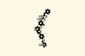 O=C(Cc1ccccc1)NC(=S)Nc1ccc(Oc2ccnc3cc(-c4ccc(OCC5CCCN5)cc4)sc23)c(F)c1